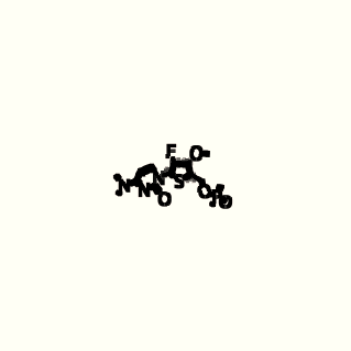 CO[C@H]1[C@H](F)[C@H](n2ccc(N(C)C)nc2=O)S[C@@H]1COP(C)(C)=O